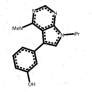 CNc1ncnc2c1c(-c1cccc(O)c1)cn2C(C)C